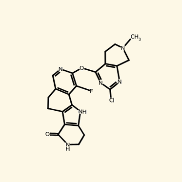 CN1CCc2c(nc(Cl)nc2Oc2ncc3c(c2F)-c2[nH]c4c(c2CC3)C(=O)NCC4)C1